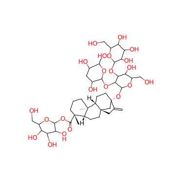 C=C1C[C@@]23CC[C@H]4[C@@](C)(CCC[C@@]4(C)C(=O)OC4OC(CO)C(O)C(O)C4O)[C@@H]2CC[C@]1(OC1OC(CO)C(O)C(OC2OC(CO)C(O)C(O)C2O)C1OC1OC(CO)C(O)CC1O)C3